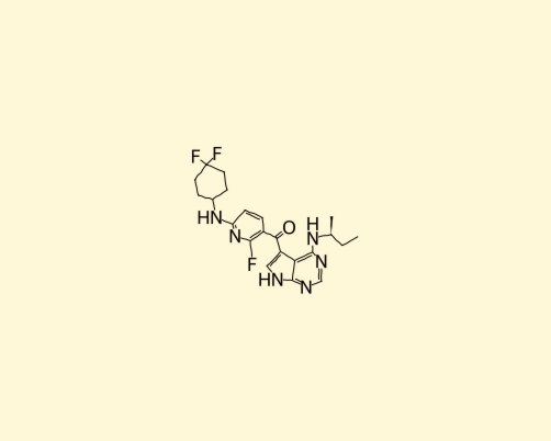 CC[C@H](C)Nc1ncnc2[nH]cc(C(=O)c3ccc(NC4CCC(F)(F)CC4)nc3F)c12